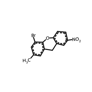 Cc1cc(Br)c2c(c1)Cc1cc([N+](=O)[O-])ccc1O2